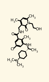 Cc1cc(C)n(CCO)c(=O)c1CNC(=O)c1cc(Cl)cc(NC(C)[C@H]2CC[C@H](N(C)C)CC2)c1C